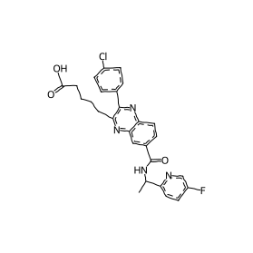 CC(NC(=O)c1ccc2nc(-c3ccc(Cl)cc3)c(CCCCC(=O)O)nc2c1)c1ccc(F)cn1